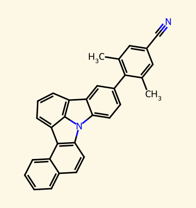 Cc1cc(C#N)cc(C)c1-c1ccc2c(c1)c1cccc3c4c5ccccc5ccc4n2c13